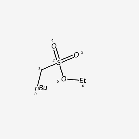 CCCCCS(=O)(=O)OCC